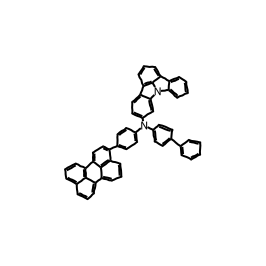 c1ccc(-c2ccc(N(c3ccc(-c4ccc5c6cccc7cccc(c8cccc4c85)c76)cc3)c3ccc4c5cccc6c7ccccc7n(c4c3)c65)cc2)cc1